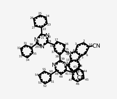 N#Cc1ccc2c(c1)c1cc(C#N)ccc1n2-c1ccc(-c2nc(-c3ccccc3)nc(-c3ccccc3)n2)cc1-c1nc(-c2ccccc2)cc(-c2ccccc2)n1